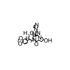 Cc1c(N2CC(O)CC2C(=O)NCCc2ccc3c(c2)OCCO3)nc(-n2ccnc2)n1C